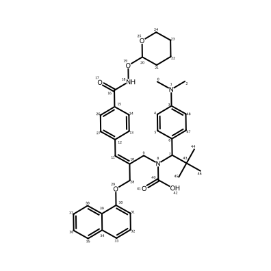 CN(C)c1ccc(C(N(CC(=Cc2ccc(C(=O)NOC3CCCCO3)cc2)COc2cccc3ccccc23)C(=O)O)C(C)(C)C)cc1